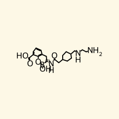 NCCNCC1CCC(CC(=O)N[C@H]2Cc3cccc(C(=O)O)c3OB2O)CC1